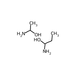 CC(N)O.CCC(N)O